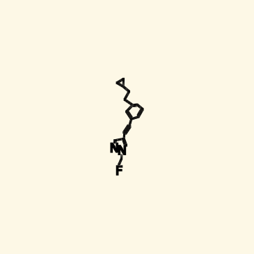 FCCn1cc(C#Cc2cccc(CCC3CC3)c2)cn1